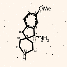 COc1ccc2c(c1)[C@@H](N)C1(CCNCC1)C2